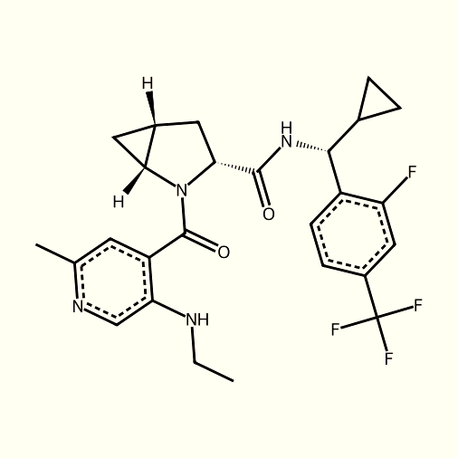 CCNc1cnc(C)cc1C(=O)N1[C@@H](C(=O)N[C@@H](c2ccc(C(F)(F)F)cc2F)C2CC2)C[C@H]2C[C@H]21